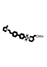 COCC1CCCN(S(=O)(=O)c2ccc(-c3ccc(CCN4CCCC4C)cc3)cc2)C1